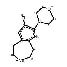 Clc1cc2c(nc1N1CCOCC1)CCNCC2